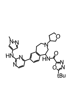 Cn1cc(Nc2nccc(-c3ccc4c(c3)CCN(C3CCOC3)CC4NC(=O)c3nnc(C(C)(C)C)o3)n2)cn1